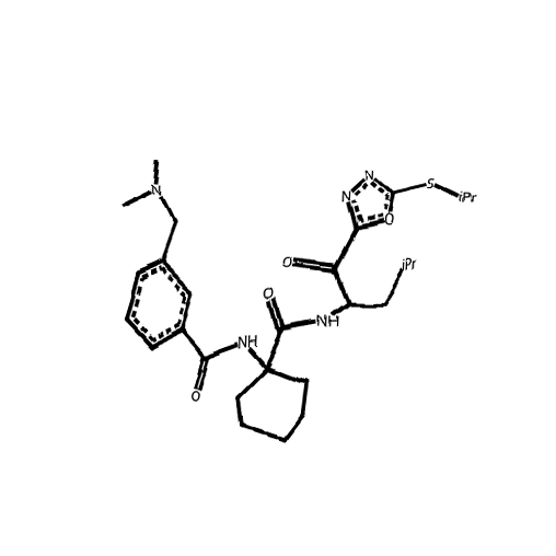 CC(C)CC(NC(=O)C1(NC(=O)c2cccc(CN(C)C)c2)CCCCC1)C(=O)c1nnc(SC(C)C)o1